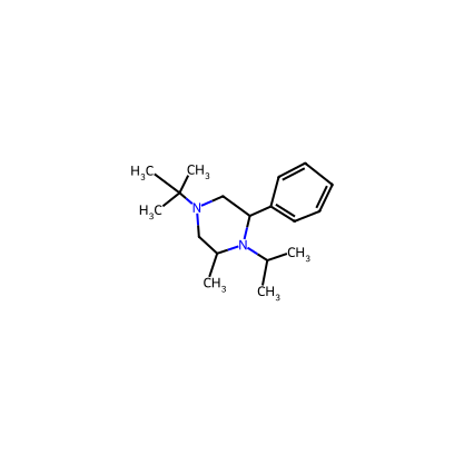 CC(C)N1C(C)CN(C(C)(C)C)CC1c1ccccc1